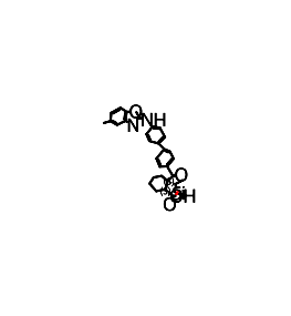 Cc1ccc2oc(Nc3ccc(-c4ccc(C(=O)[C@]5(C(C)[Si](C)(C)C)CCCC[C@@H]5C(=O)O)cc4)cc3)nc2c1